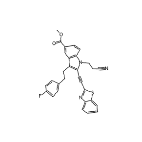 COC(=O)c1ccc2c(c1)c(CCc1ccc(F)cc1)c(C#Cc1nc3ccccc3s1)n2CCC#N